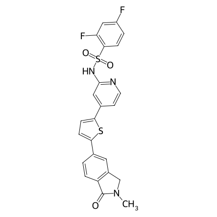 CN1Cc2cc(-c3ccc(-c4ccnc(NS(=O)(=O)c5ccc(F)cc5F)c4)s3)ccc2C1=O